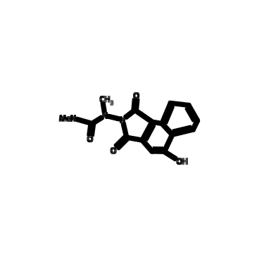 CNC(=O)N(C)N1C(=O)c2cc(O)c3ccccc3c2C1=O